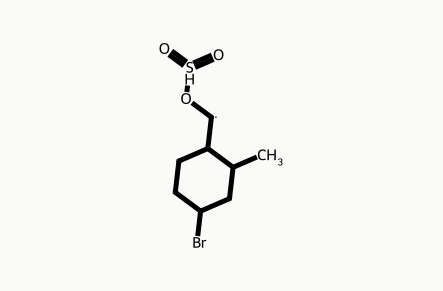 CC1CC(Br)CCC1[CH]O[SH](=O)=O